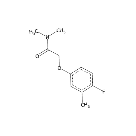 Cc1cc(OCC(=O)N(C)C)ccc1F